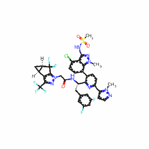 Cn1nccc1-c1ccc(-c2ccc(Cl)c3c(NS(C)(=O)=O)nn(C)c23)c([C@H](Cc2cc(F)cc(F)c2)NC(=O)Cn2nc(C(F)(F)F)c3c2C(F)(F)[C@@H]2C[C@H]32)n1